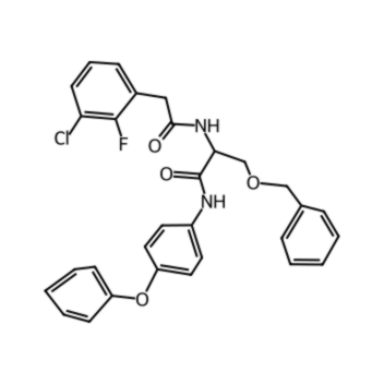 O=C(Cc1cccc(Cl)c1F)NC(COCc1ccccc1)C(=O)Nc1ccc(Oc2ccccc2)cc1